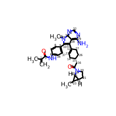 C=C(C)C(=O)Nc1ccc(-c2c(C3=CC[C@@H](CC(=O)N4CC[C@H]5C(C)[C@H]54)CC3)c3c(N)ncnc3n2C)cc1